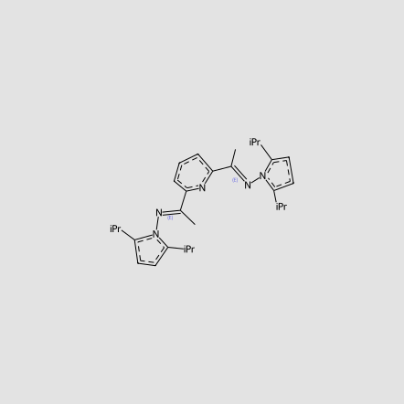 C/C(=N\n1c(C(C)C)ccc1C(C)C)c1cccc(/C(C)=N/n2c(C(C)C)ccc2C(C)C)n1